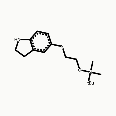 CC(C)(C)[Si](C)(C)OCCSc1ccc2c(c1)CCN2